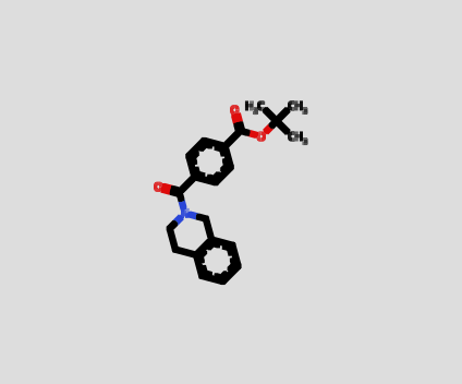 CC(C)(C)OC(=O)c1ccc(C(=O)N2CCc3ccccc3C2)cc1